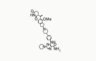 C=C(c1ccc2c(c1OC)CC(N1CCC(c3ccc(Nc4nc(N5CCCCC5)cnc4C(N)=O)cc3)CC1)C2)C1CCC(=O)NC1=O